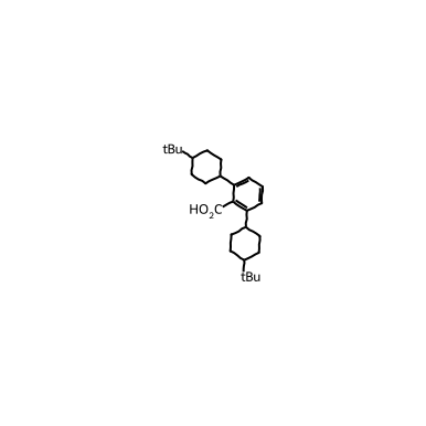 CC(C)(C)C1CCC(c2cccc(C3CCC(C(C)(C)C)CC3)c2C(=O)O)CC1